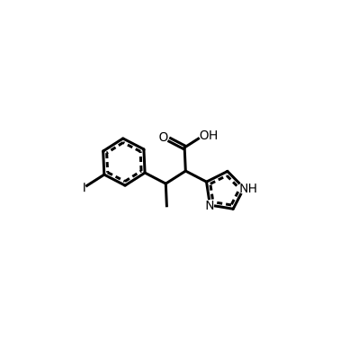 CC(c1cccc(I)c1)C(C(=O)O)c1c[nH]cn1